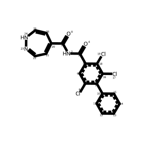 O=C(NC(=O)c1cc(Cl)c(-c2ccccc2)c(Cl)c1Cl)C1=CC=NNC=C1